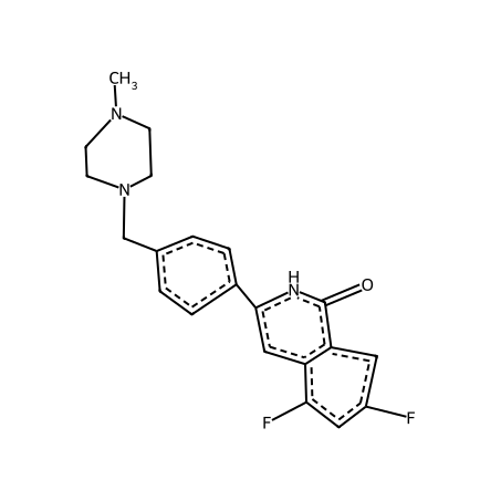 CN1CCN(Cc2ccc(-c3cc4c(F)cc(F)cc4c(=O)[nH]3)cc2)CC1